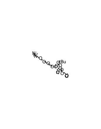 CC(C)(C)OC(=O)N1C[C@H](OCCOCCOCCOCCN=[N+]=[N-])C[C@H]1C(=O)N1CCC[C@H]1C(=O)OCc1ccccc1